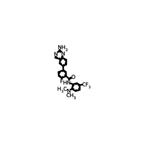 CN(C)c1ccc(C(F)(F)F)cc1NC(=O)c1cc(-c2ccc3nc(N)ncc3c2)ccc1F